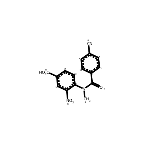 CN(C(=O)c1ccc(C#N)cc1)c1ccc(C(=O)O)cc1[N+](=O)[O-]